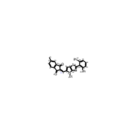 CCn1c(/C=C2/C(=O)c3ccc(C)cc3C2=O)cc2sc(-c3c(C(C)C)cccc3C(C)C)nc21